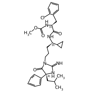 COC(=O)N[C@@H](Cc1ccccc1Cl)C(=O)N[C@H](CCCN1C(=N)N[C@](CC(C)C)(c2ccccc2)C1=O)C1CC1